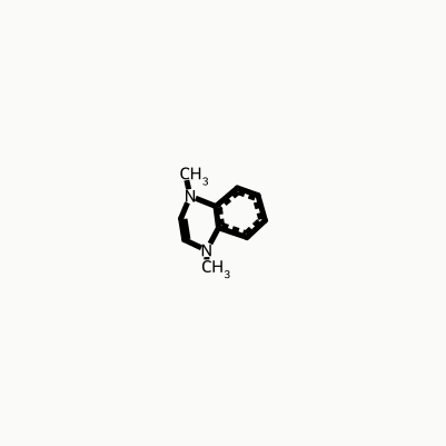 CN1C=CN(C)c2ccccc21